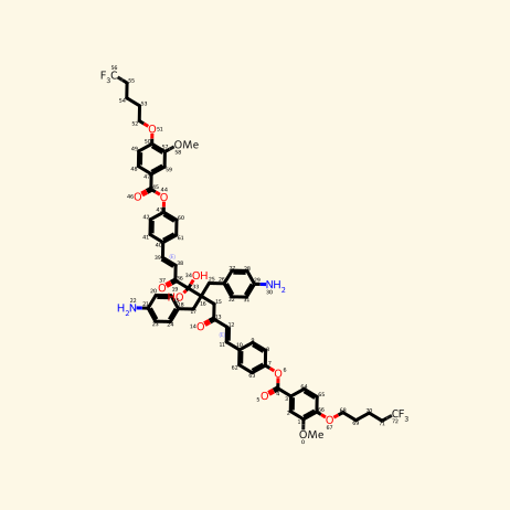 COc1cc(C(=O)Oc2ccc(/C=C/C(=O)CC(Cc3ccc(N)cc3)(Cc3ccc(N)cc3)C(O)(O)C(=O)/C=C/c3ccc(OC(=O)c4ccc(OCCCCC(F)(F)F)c(OC)c4)cc3)cc2)ccc1OCCCCC(F)(F)F